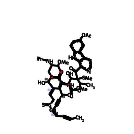 CC#C/C=C\C#C[C@H](OC1OC(C)C(SC)(C(=O)c2nccc3c2[nH]c2ccc(OC(C)=O)cc23)C(O)C1OC1CC(OC)C(NC(C)C)CO1)C1=C(NC(=O)OC)C(=O)C[C@H](O)/C1=C/CS(C)=S